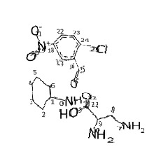 NC1CCCCC1.NCC(N)C(=O)O.O=Cc1cc([N+](=O)[O-])ccc1Cl